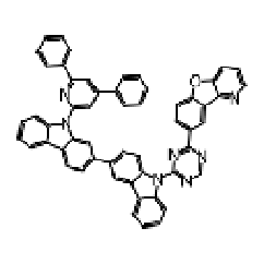 c1ccc(-c2cc(-c3ccccc3)nc(-n3c4ccccc4c4ccc(-c5ccc6c(c5)c5ccccc5n6-c5ncnc(-c6ccc7oc8cccnc8c7c6)n5)cc43)c2)cc1